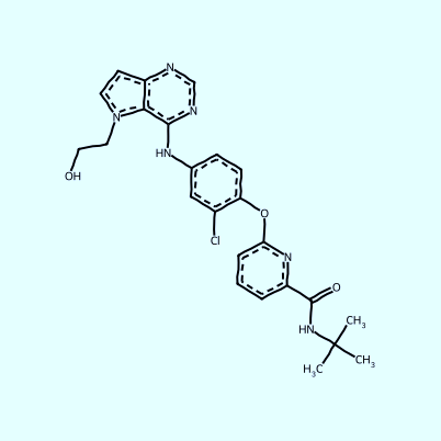 CC(C)(C)NC(=O)c1cccc(Oc2ccc(Nc3ncnc4ccn(CCO)c34)cc2Cl)n1